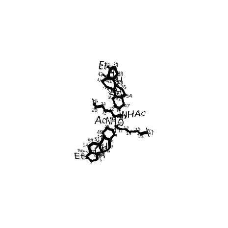 CC[C@H]1CC[C@H]2[C@@H]3CC=C4C[C@@H](C(CCCCCI)(NC(C)=O)OC(CCCCCI)(NC(C)=O)[C@H]5CC[C@@]6(C)C(=CC[C@H]7[C@@H]8CC[C@H](CC)[C@@]8(C)CC[C@@H]76)C5)CC[C@]4(C)[C@H]3CC[C@]12C